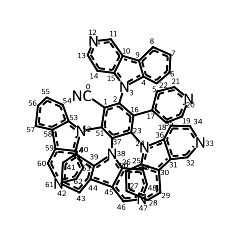 N#Cc1c(-n2c3ccccc3c3cnccc32)c(-c2ccncc2)c(-n2c3ccccc3c3cnccc32)c(-n2c3ccccc3c3cnccc32)c1-n1c2ccccc2c2cnccc21